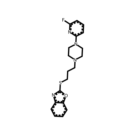 Fc1cccc(N2CCN(CCCSc3nc4ccccc4o3)CC2)n1